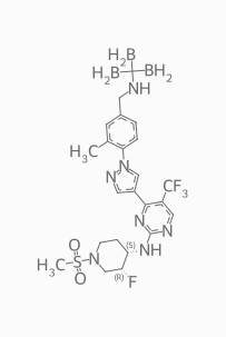 BC(B)(B)NCc1ccc(-n2cc(-c3nc(N[C@H]4CCN(S(C)(=O)=O)C[C@H]4F)ncc3C(F)(F)F)cn2)c(C)c1